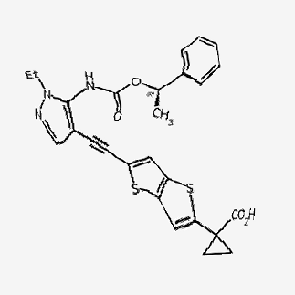 CCn1ncc(C#Cc2cc3sc(C4(C(=O)O)CC4)cc3s2)c1NC(=O)O[C@H](C)c1ccccc1